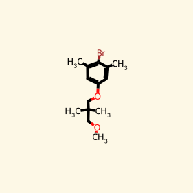 COCC(C)(C)COc1cc(C)c(Br)c(C)c1